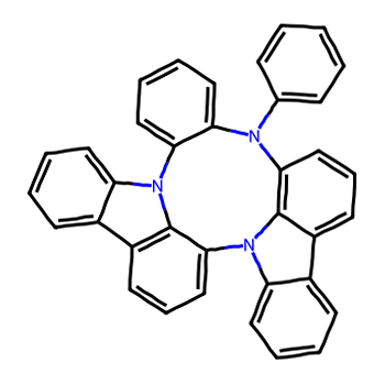 c1ccc(-n2c3ccccc3n3c4ccccc4c4cccc(c43)n3c4ccccc4c4cccc2c43)cc1